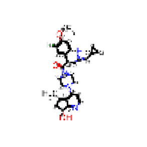 C[C@@H]1C[C@@H](O)c2nccc(N3CCN(C(=O)[C@H](CNCC4CC4)c4ccc(OC(F)(F)F)c(F)c4)CC3)c21